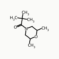 CC1CN(C(=O)C(C)(C)C)CC(C)O1